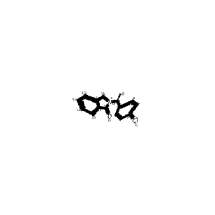 C[C@@H](c1ccc(Cl)cc1)N1Cc2ccccc2C1=O